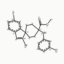 COC(=O)C1(Nc2cccc(Cl)c2)CCC2(CC1)C(Br)=Cc1ccc(F)cc12